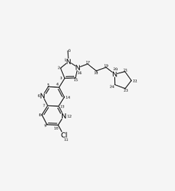 CN1CC(c2cnc3ccc(Cl)nc3c2)=CN1CCCN1CCCC1